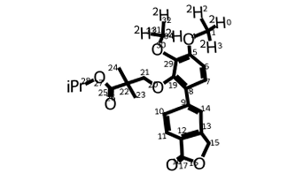 [2H]C([2H])([2H])Oc1ccc(-c2ccc3c(c2)COC3=O)c(OCC(C)(C)C(=O)OC(C)C)c1OC([2H])([2H])[2H]